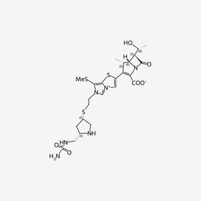 CSc1c2sc(C3=C(C(=O)[O-])N4C(=O)[C@H]([C@@H](C)O)[C@H]4[C@H]3C)c[n+]2cn1CCS[C@@H]1CN[C@H](CNS(N)(=O)=O)C1